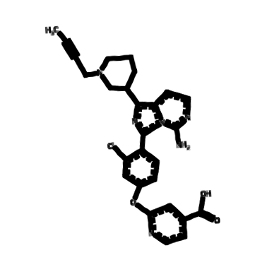 CC#CCN1CCCC(c2nc(-c3ccc(Oc4cc(C(=O)O)ccn4)cc3Cl)n3c(N)nccc23)C1